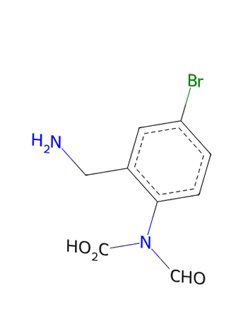 NCc1cc(Br)ccc1N(C=O)C(=O)O